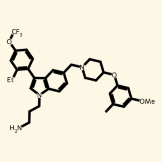 CCc1cc(OC(F)(F)F)ccc1-c1cn(CCCN)c2ccc(CN3CCC(Oc4cc(C)cc(OC)c4)CC3)cc12